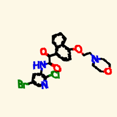 O=C(Nc1cc(Br)cnc1Cl)C(=O)c1ccc(OCCN2CCOCC2)c2ccccc12